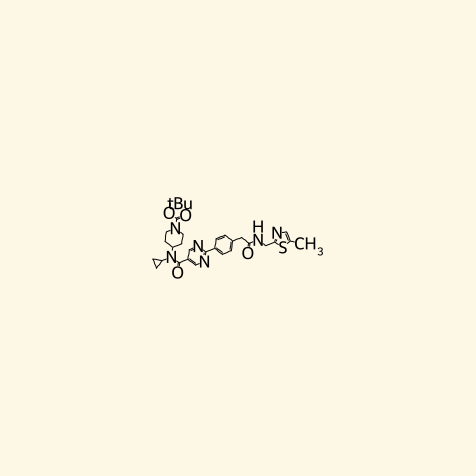 Cc1cnc(CNC(=O)Cc2ccc(-c3ncc(C(=O)N(C4CC4)C4CCN(C(=O)OC(C)(C)C)CC4)cn3)cc2)s1